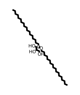 CCCCCCCCCCCCCCCCCCOOCCCCCCCCCCCCCCCCCC.OCC(O)CO